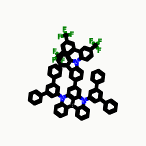 FC(F)(F)c1cc(-c2cc(C(F)(F)F)ccc2-n2c3ccccc3c3cc(-c4cc5c6c(c4)N(c4cc(-c7ccccc7)cc(-c7ccccc7)c4)c4ccccc4B6c4ccccc4N5c4cc(-c5ccccc5)cc(-c5ccccc5)c4)ccc32)cc(C(F)(F)F)c1